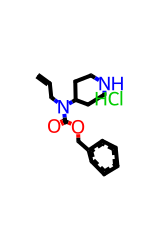 C=CCN(C(=O)OCc1ccccc1)C1CCNCC1.Cl